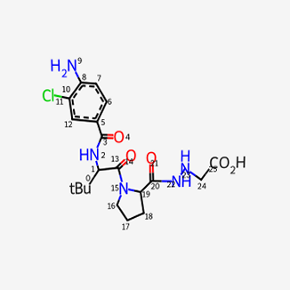 CC(C)(C)C(NC(=O)c1ccc(N)c(Cl)c1)C(=O)N1CCCC1C(=O)NNCC(=O)O